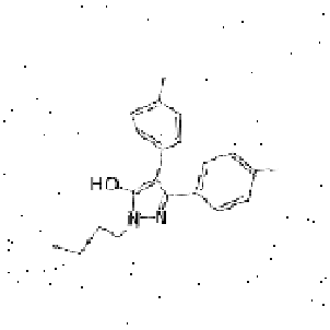 CCCCn1nc(-c2ccc(C)cc2)c(-c2ccc(C)cc2)c1O